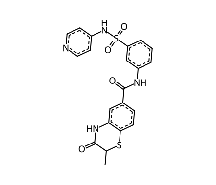 CC1Sc2ccc(C(=O)Nc3cccc(S(=O)(=O)Nc4ccncc4)c3)cc2NC1=O